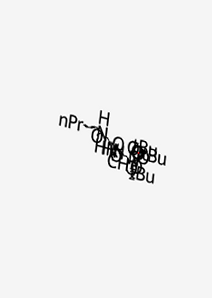 C=CC(=O)NC(CCCCNC(=O)CC#CC#CCCC)C(=O)NCCCCC(C(=O)OC(C)(C)C)N(CC(=O)OC(C)(C)C)CC(=O)OC(C)(C)C